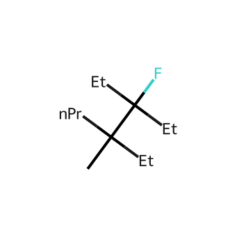 CCCC(C)(CC)C(F)(CC)CC